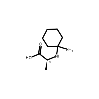 C[C@H](NC1(N)CCCCC1)C(=O)O